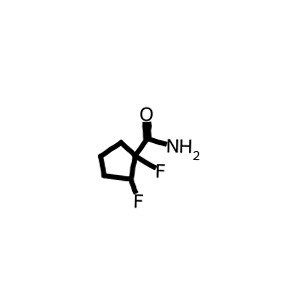 NC(=O)C1(F)CCCC1F